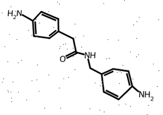 Nc1ccc(CNC(=O)Cc2ccc(N)cc2)cc1